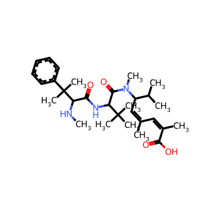 CNC(C(=O)NC(C(=O)N(C)C(C=C(C)C=C(C)C(=O)O)C(C)C)C(C)(C)C)C(C)(C)c1ccccc1